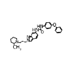 CC1CCCCN1CCCn1cc2ccc(NC(=O)Nc3ccc(Oc4ccccc4)cc3)cc2n1